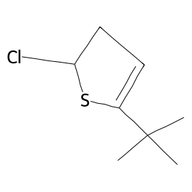 CC(C)(C)C1=CCC(Cl)S1